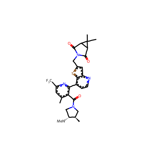 CN[C@@H]1CN(C(=O)c2c(C)cc(C(F)(F)F)nc2-c2ccnc3cc(CN4C(=O)C5C(C4=O)C5(C)C)sc23)C[C@H]1C